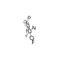 COCCC(=O)N1CCN(c2nc(C3CC3)c(-c3ccc(F)cc3)cc2C#N)CC1C